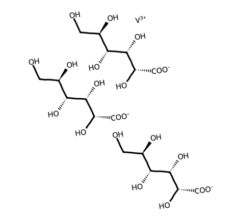 O=C([O-])[C@H](O)[C@@H](O)[C@H](O)[C@H](O)CO.O=C([O-])[C@H](O)[C@@H](O)[C@H](O)[C@H](O)CO.O=C([O-])[C@H](O)[C@@H](O)[C@H](O)[C@H](O)CO.[V+3]